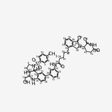 Cc1ccc(S(=O)(=O)N2CC[C@@H]3[C@H](CO)Nc4ccc(-c5cccc(NC(=O)CCCSc6cccc7c6CN(C6CCC(=O)NC6=O)C7=O)c5)cc4[C@@H]32)cc1